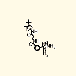 Cc1nc(NC(=O)CCNC(=O)c2cccc(/C(N)=N/N(C)N)c2)sc1C(C)(C)C